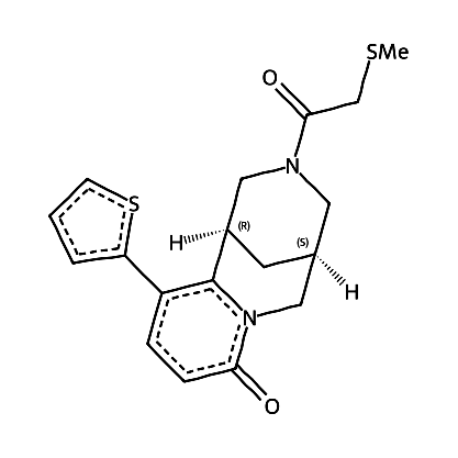 CSCC(=O)N1C[C@@H]2C[C@H](C1)c1c(-c3cccs3)ccc(=O)n1C2